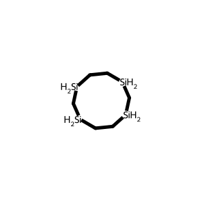 C1C[SiH2]C[SiH2]CC[SiH2]C[SiH2]1